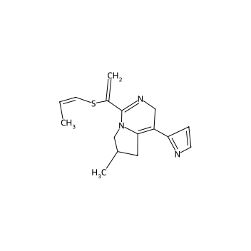 C=C(S/C=C\C)C1=NCC(C2=NC=C2)=C2CC(C)CN12